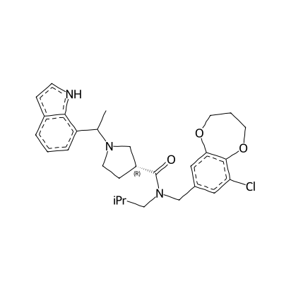 CC(C)CN(Cc1cc(Cl)c2c(c1)OCCCO2)C(=O)[C@@H]1CCN(C(C)c2cccc3cc[nH]c23)C1